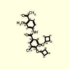 CC(=O)c1ccc(NC(=O)c2cc(Cl)c(OC3CCC3)c(OC3CCC3)c2)cc1C